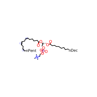 CCCCC/C=C\C/C=C\C/C=C\CCCCC(=O)O[C@H](COC(=O)CCCCCCCCCCCCCCCCCC)COP(=O)([O-])OCC[N+](C)(C)C